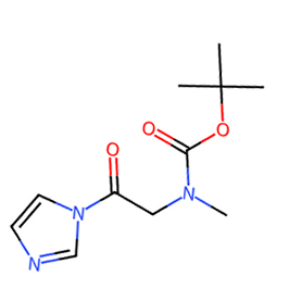 CN(CC(=O)n1ccnc1)C(=O)OC(C)(C)C